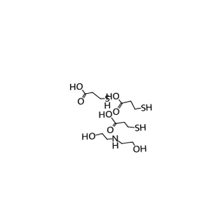 O=C(O)CCS.O=C(O)CCS.O=C(O)CCS.OCCNCCO